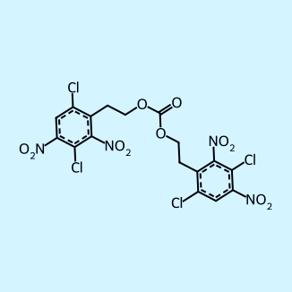 O=C(OCCc1c(Cl)cc([N+](=O)[O-])c(Cl)c1[N+](=O)[O-])OCCc1c(Cl)cc([N+](=O)[O-])c(Cl)c1[N+](=O)[O-]